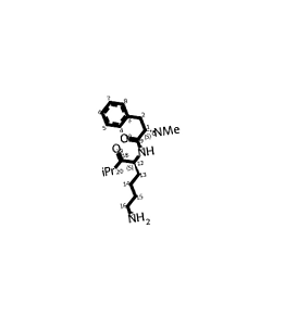 CN[C@@H](Cc1ccccc1)C(=O)N[C@@H](CCCCN)C(=O)C(C)C